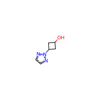 OC1CC(n2nccn2)C1